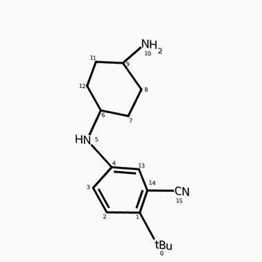 CC(C)(C)c1ccc(NC2CCC(N)CC2)cc1C#N